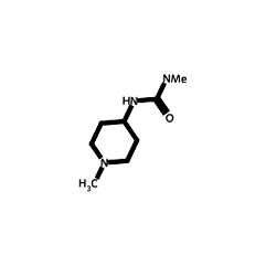 CNC(=O)NC1CCN(C)CC1